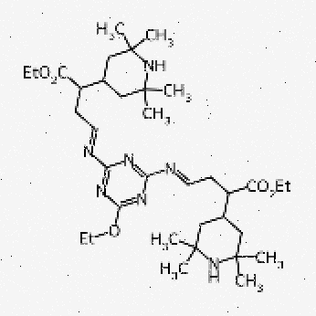 CCOC(=O)C(CC=Nc1nc(N=CCC(C(=O)OCC)C2CC(C)(C)NC(C)(C)C2)nc(OCC)n1)C1CC(C)(C)NC(C)(C)C1